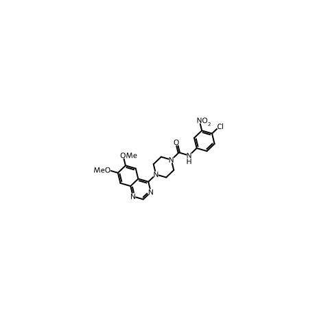 COc1cc2ncnc(N3CCN(C(=O)Nc4ccc(Cl)c([N+](=O)[O-])c4)CC3)c2cc1OC